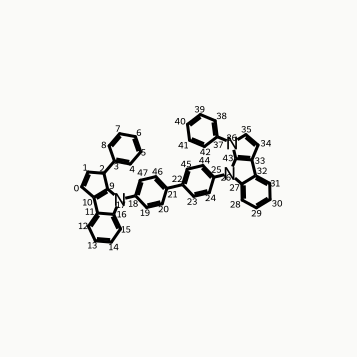 C1=CC(c2ccccc2)c2c1c1ccccc1n2-c1ccc(-c2ccc(-n3c4ccccc4c4ccn(-c5ccccc5)c43)cc2)cc1